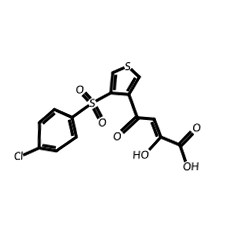 O=C(O)/C(O)=C/C(=O)c1cscc1S(=O)(=O)c1ccc(Cl)cc1